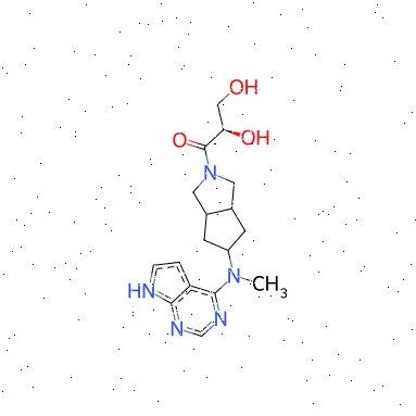 CN(c1ncnc2[nH]ccc12)C1CC2CN(C(=O)[C@H](O)CO)CC2C1